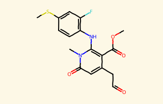 COC(=O)c1c(CC=O)cc(=O)n(C)c1Nc1ccc(SC)cc1F